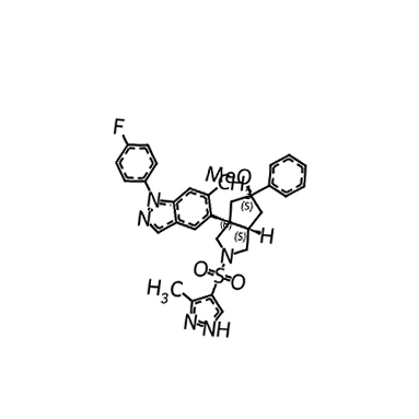 CO[C@@]1(c2ccccc2)C[C@@H]2CN(S(=O)(=O)c3c[nH]nc3C)C[C@]2(c2cc3cnn(-c4ccc(F)cc4)c3cc2C)C1